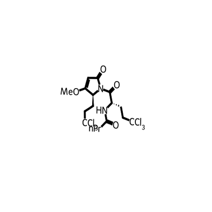 CCCC(=O)N[C@@H](CCC(Cl)(Cl)Cl)C(=O)N1C(=O)C=C(OC)[C@@H]1CCC(Cl)(Cl)Cl